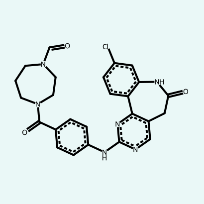 O=CN1CCCN(C(=O)c2ccc(Nc3ncc4c(n3)-c3ccc(Cl)cc3NC(=O)C4)cc2)CC1